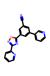 N#Cc1cc(-c2cccnc2)cc(-c2nc(-c3ccccn3)no2)c1